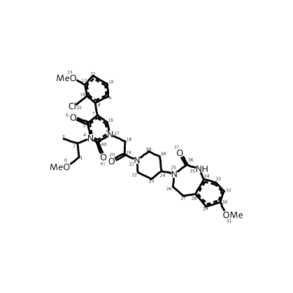 COCC(C)n1c(=O)c(-c2cccc(OC)c2Cl)cn(CC(=O)N2CCC(N3CCc4cc(OC)ccc4NC3=O)CC2)c1=O